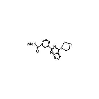 CNC(=O)c1cccc(-c2nc(N3CCOCC3)c3cccn3n2)c1